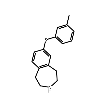 Cc1cccc(Sc2ccc3c(c2)CCNCC3)c1